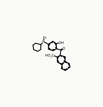 CCN(c1ccc(C(=O)c2cc3ccccc3cc2C(=O)O)c(O)c1)C1CCCCC1